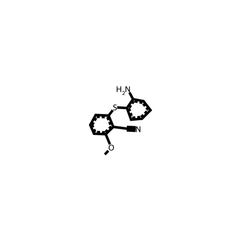 COc1cccc(Sc2ccccc2N)c1C#N